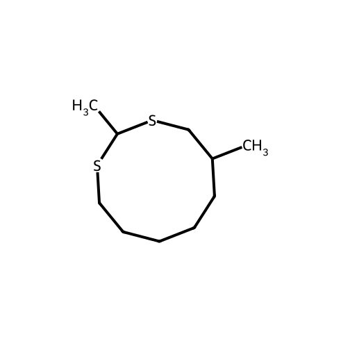 CC1CCCCCSC(C)SC1